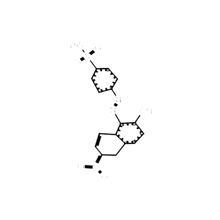 O=S(=O)=C1C=Cc2c(ccc(O)c2N=Nc2ccc(S(=O)(=O)O)cc2)C1